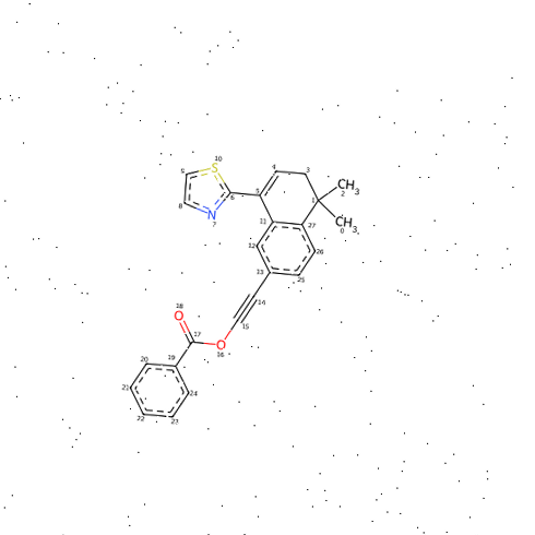 CC1(C)CC=C(c2nccs2)c2cc(C#COC(=O)c3ccccc3)ccc21